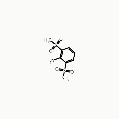 CS(=O)(=O)c1cccc(S(N)(=O)=O)c1N